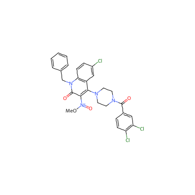 CO[N+](=O)c1c(N2CCN(C(=O)c3ccc(Cl)c(Cl)c3)CC2)c2cc(Cl)ccc2n(Cc2ccccc2)c1=O